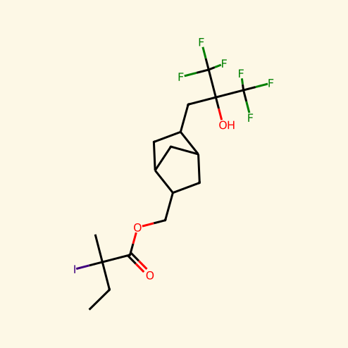 CCC(C)(I)C(=O)OCC1CC2CC1CC2CC(O)(C(F)(F)F)C(F)(F)F